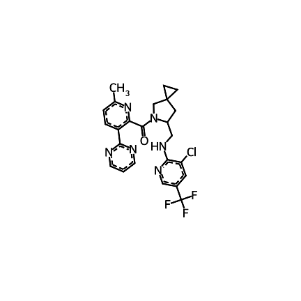 Cc1ccc(-c2ncccn2)c(C(=O)N2CC3(CC3)CC2CNc2ncc(C(F)(F)F)cc2Cl)n1